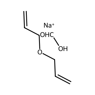 C=CCOCC=C.O=[C-]O.[Na+]